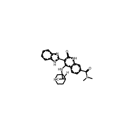 CN(C)C(=O)c1ccc2c(N[C@H]3CN4CCC3CC4)c(-c3nc4ccccc4[nH]3)c(=O)[nH]c2c1